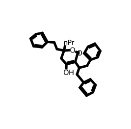 CCCC1(CCc2ccccc2)CC(O)=C(C(Cc2ccccc2)Cc2ccccc2)C(=O)O1